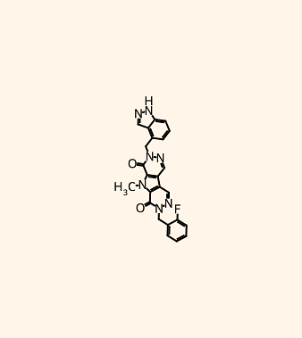 Cn1c2c(=O)n(Cc3ccccc3F)ncc2c2cnn(Cc3cccc4[nH]ncc34)c(=O)c21